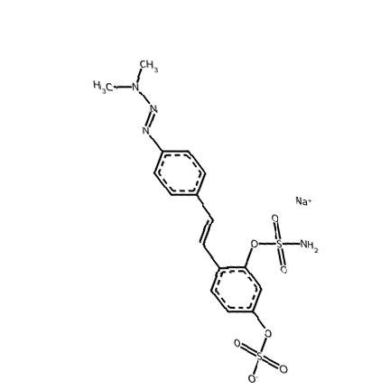 CN(C)N=Nc1ccc(C=Cc2ccc(OS(=O)(=O)[O-])cc2OS(N)(=O)=O)cc1.[Na+]